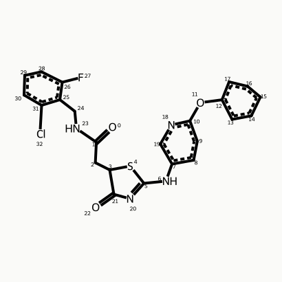 O=C(CC1SC(Nc2ccc(Oc3ccccc3)nc2)=NC1=O)NCc1c(F)cccc1Cl